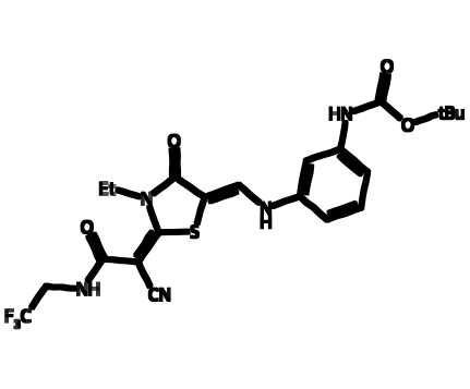 CCn1c(=C(C#N)C(=O)NCC(F)(F)F)sc(=CNc2cccc(NC(=O)OC(C)(C)C)c2)c1=O